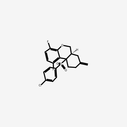 C=C1CCC2(S(=O)(=O)c3ccc(Cl)cc3)c3c(F)ccc(F)c3OC[C@H]2C1